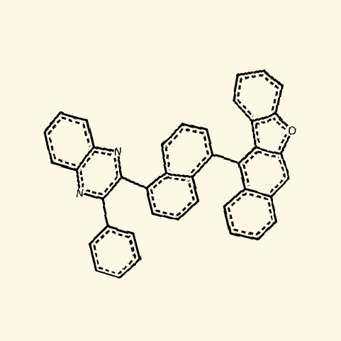 c1ccc(-c2nc3ccccc3nc2-c2cccc3c(-c4c5ccccc5cc5oc6ccccc6c45)cccc23)cc1